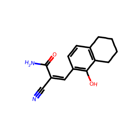 N#C/C(=C/c1ccc2c(c1O)CCCC2)C(N)=O